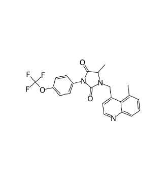 Cc1cccc2nccc(CN3C(=O)N(c4ccc(OC(F)(F)F)cc4)C(=O)C3C)c12